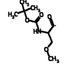 COCC([C]=O)NC(=O)OC(C)(C)C